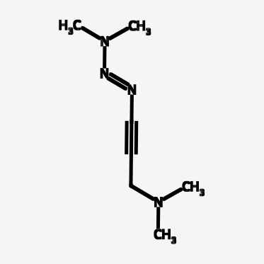 CN(C)CC#CN=NN(C)C